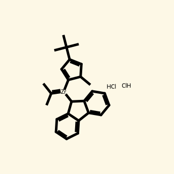 C[C](C)=[Zr]([C]1=CC(C(C)(C)C)=CC1C)[CH]1c2ccccc2-c2ccccc21.Cl.Cl